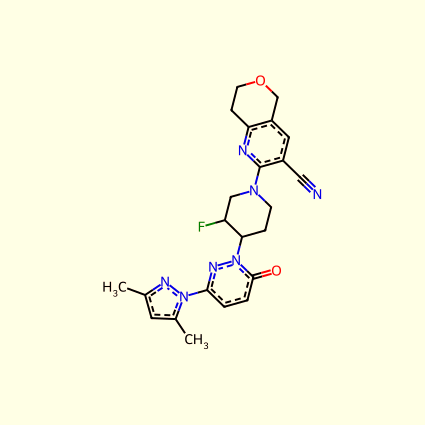 Cc1cc(C)n(-c2ccc(=O)n(C3CCN(c4nc5c(cc4C#N)COCC5)CC3F)n2)n1